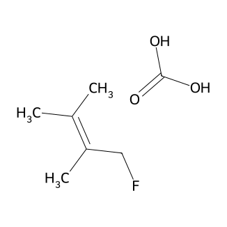 CC(C)=C(C)CF.O=C(O)O